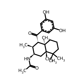 CC(=O)N[C@@H]1C[C@@]2(C)C(C)(C)CCC[C@]2(C)[C@@H](C(=O)c2cc(O)cc(O)c2)[C@@H]1C